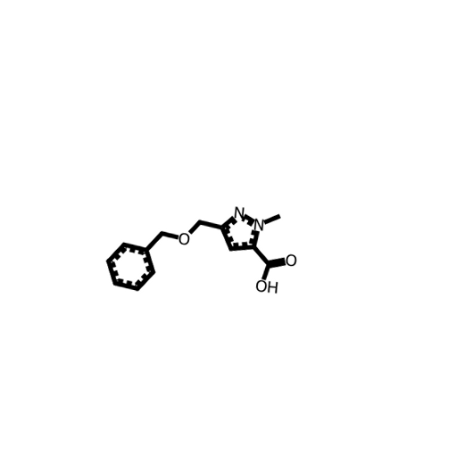 Cn1nc(COCc2ccccc2)cc1C(=O)O